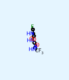 O=C(C1CCC(NS(=O)(=O)c2ccc3cc(-c4ccc(F)cc4)[nH]c3c2)CC1)N1CCNC(C(F)(F)F)C1